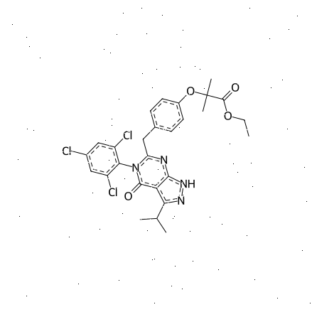 CCOC(=O)C(C)(C)Oc1ccc(Cc2nc3[nH]nc(C(C)C)c3c(=O)n2-c2c(Cl)cc(Cl)cc2Cl)cc1